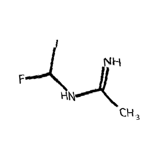 CC(=N)NC(F)I